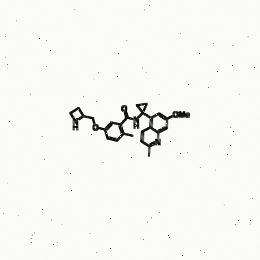 COc1cc(C2(NC(=O)c3cc(OCC4CCN4)ccc3C)CC2)c2ccc(C)nc2c1